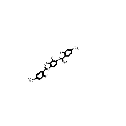 Cc1ccc(C(=O)Oc2ccc(OC(O)c3ccc(C)cc3F)c(F)c2F)c(F)c1